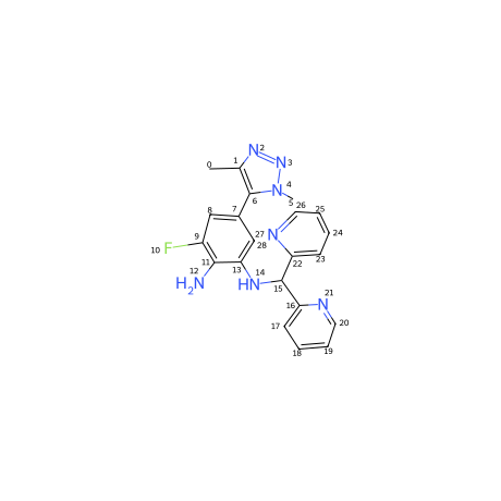 Cc1nnn(C)c1-c1cc(F)c(N)c(NC(c2ccccn2)c2ccccn2)c1